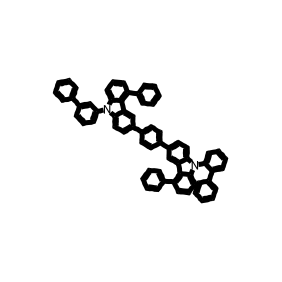 c1ccc(-c2cccc(-n3c4ccc(-c5ccc(-c6ccc7c(c6)c6c(-c8ccccc8)cccc6n7-c6ccccc6-c6ccccc6)cc5)cc4c4c(-c5ccccc5)cccc43)c2)cc1